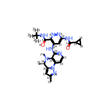 [2H]C([2H])([2H])NC(=O)c1nnc(NC(=O)C2CC2)cc1Nc1nccc2c1N(C)[C@H](C)c1cc(C)nn1-2